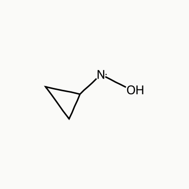 O[N]C1CC1